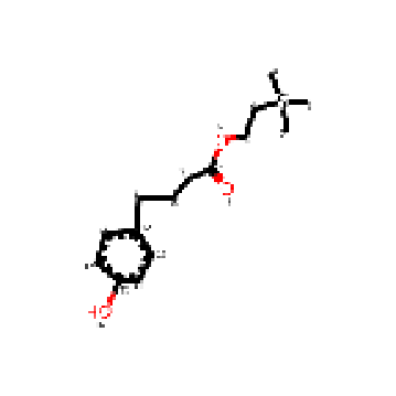 C[Si](C)(C)CCOC(=O)CCCc1ccc(O)cc1